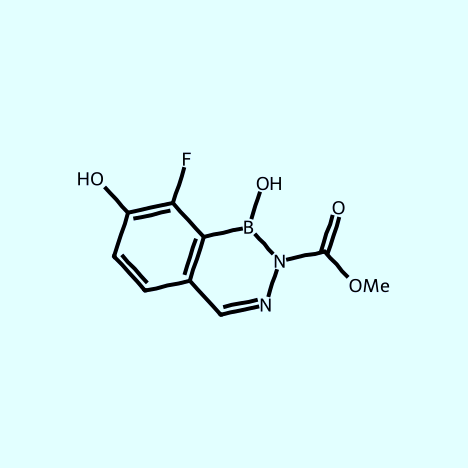 COC(=O)N1N=Cc2ccc(O)c(F)c2B1O